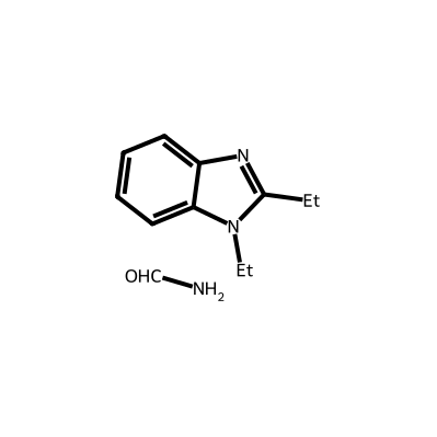 CCc1nc2ccccc2n1CC.NC=O